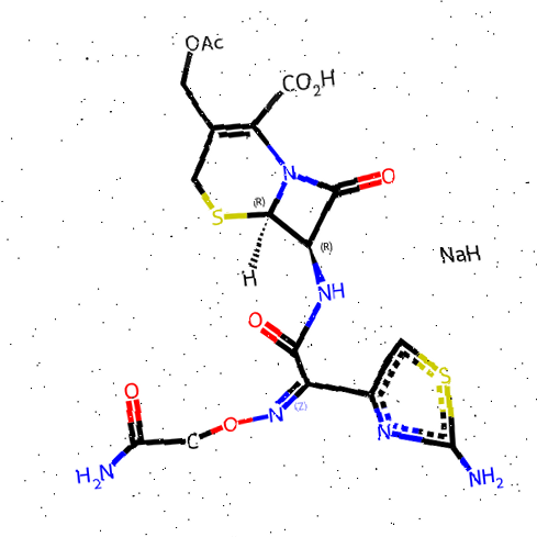 CC(=O)OCC1=C(C(=O)O)N2C(=O)[C@@H](NC(=O)/C(=N\OCC(N)=O)c3csc(N)n3)[C@H]2SC1.[NaH]